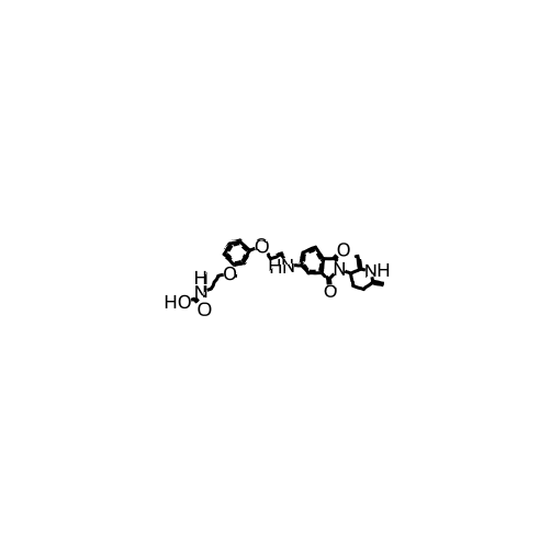 C=C1CCC(N2C(=O)c3ccc(NCCOc4cccc(OCCNC(=O)O)c4)cc3C2=O)C(=C)N1